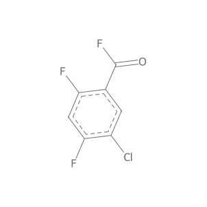 O=C(F)c1cc(Cl)c(F)cc1F